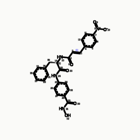 O=C(/C=C/c1ccc([N+](=O)[O-])cc1)N[C@@H](Cc1ccccc1)C(=O)Nc1ccc(C(=O)NO)cc1